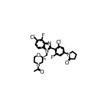 CC(=O)N1CCO[C@@H](Cn2c(-c3c(F)cc(N4CCCC4=O)cc3Cl)nc3c(F)c(Cl)ccc32)C1